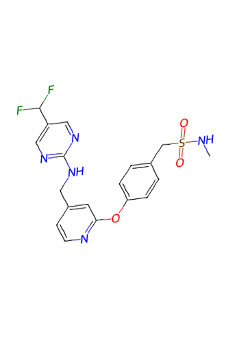 CNS(=O)(=O)Cc1ccc(Oc2cc(CNc3ncc(C(F)F)cn3)ccn2)cc1